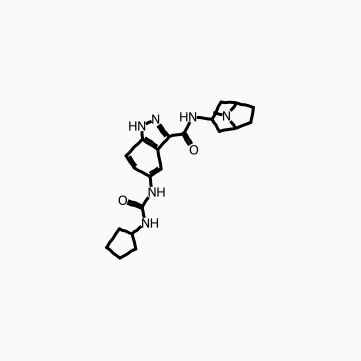 CN1C2CCC1CC(NC(=O)c1n[nH]c3ccc(NC(=O)NC4CCCC4)cc13)C2